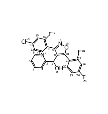 OC(c1ccccn1)c1c(-c2ccc(Cl)cc2F)noc1-c1ccc(F)cc1F